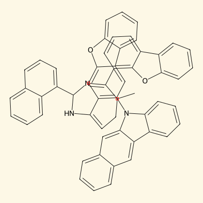 CC1C/C=C(\c2cc3oc4ccccc4c3cc2-n2c3ccccc3c3cc4ccccc4cc32)NC(c2cccc3ccccc23)/N=C\1c1cccc2c1oc1ccccc12